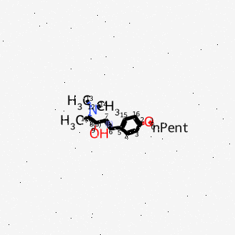 CCCCCOc1ccc(/C=C/[C@H](O)[C@@H](C)N(C)C)cc1